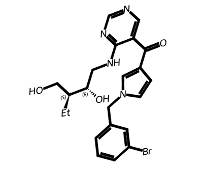 CC[C@@H](CO)[C@@H](O)CNc1ncncc1C(=O)c1ccn(Cc2cccc(Br)c2)c1